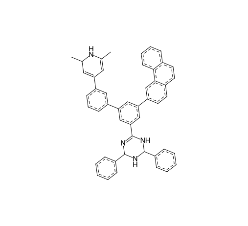 CC1=CC(c2cccc(-c3cc(C4=NC(c5ccccc5)NC(c5ccccc5)N4)cc(-c4ccc5ccc6ccccc6c5c4)c3)c2)=CC(C)N1